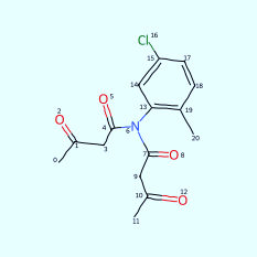 CC(=O)CC(=O)N(C(=O)CC(C)=O)c1cc(Cl)ccc1C